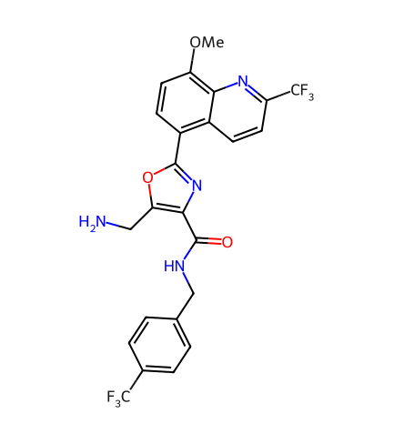 COc1ccc(-c2nc(C(=O)NCc3ccc(C(F)(F)F)cc3)c(CN)o2)c2ccc(C(F)(F)F)nc12